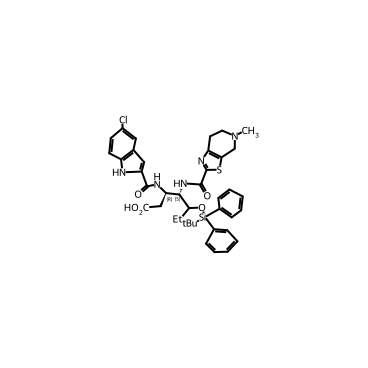 CCC(O[Si](c1ccccc1)(c1ccccc1)C(C)(C)C)[C@@H](NC(=O)c1nc2c(s1)CN(C)CC2)[C@@H](CC(=O)O)NC(=O)c1cc2cc(Cl)ccc2[nH]1